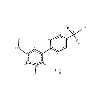 CNc1cc(-c2ccc(C(F)(F)F)nc2)nc(C)n1.Cl